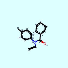 C=CN(C(=O)c1ccccc1)c1ccc(C)cc1